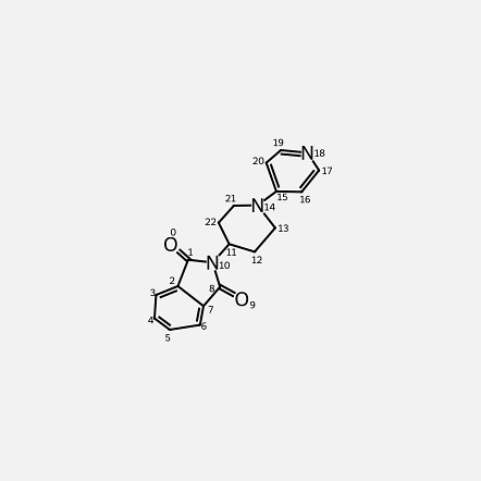 O=C1c2ccccc2C(=O)N1C1CCN(c2ccncc2)CC1